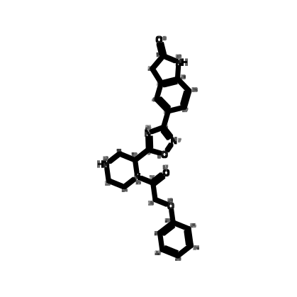 O=C1Cc2cc(-c3noc(C4CNCCN4C(=O)COc4ccccc4)n3)ccc2N1